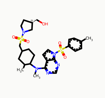 Cc1ccc(S(=O)(=O)n2ccc3c(N(C)C4CCC(CS(=O)(=O)N5CC[C@H](CO)C5)CC4C)ncnc32)cc1